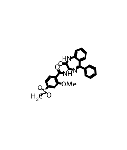 COc1cc(S(C)(=O)=O)ccc1C(=O)N[C@H]1N=C(c2ccccc2)c2ccccc2NC1=O